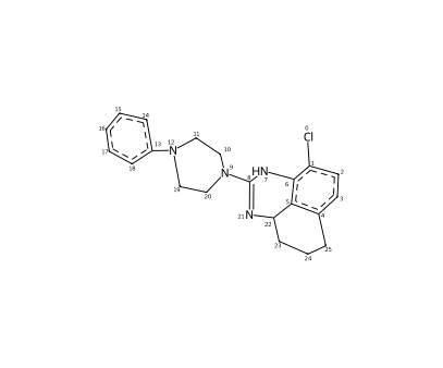 Clc1ccc2c3c1NC(N1CCN(c4ccccc4)CC1)=NC3CCC2